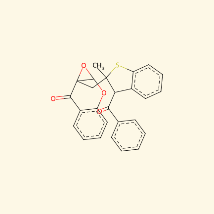 CC1(CC23OC2Oc2ccccc2C3=O)Sc2ccccc2C1C(=O)c1ccccc1